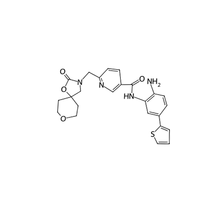 Nc1ccc(-c2cccs2)cc1NC(=O)c1ccc(CN2CC3(CCOCC3)OC2=O)nc1